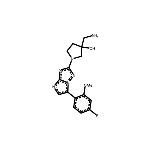 COc1cc(F)ccc1-c1cnc2sc(N3CCC(O)(CN)C3)nn12